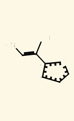 CC(=C[N+](=O)[O-])c1cccs1